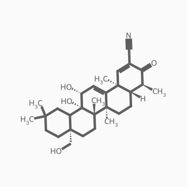 C[C@@H]1C(=O)C(C#N)=C[C@]2(C)C3=C[C@@H](O)[C@]4(O)C5CC(C)(C)CC[C@]5(CO)CC[C@@]4(C)[C@]3(C)CC[C@@H]12